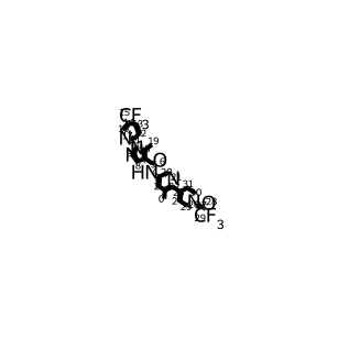 Cc1cc(NC(=O)c2cnn(-c3ccc(C(F)(F)F)cn3)c2C)cnc1C1=CCN(C(=O)C(F)(F)F)CC1